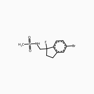 CS(=O)(=O)NCC1(F)CCc2cc(Br)ccc21